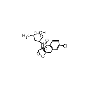 CC(C)CC(CO)NS(=O)(=O)c1ccc(Cl)cc1CC1=CCOO1